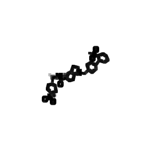 C[C@H](NC(=O)c1ccc2c(ccn2Cc2ccc(-c3ccccc3S(C)(=O)=O)cc2)c1)c1ccc([N+](=O)[O-])cc1